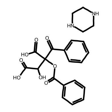 C1CNCCN1.O=C(OC(C(=O)O)(C(=O)c1ccccc1)C(O)C(=O)O)c1ccccc1